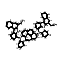 CC(C)Cc1cc2ccccc2c2c1oc1c(N(c3ccccc3)c3ccc4ccc5c(N(c6ccccc6)c6cccc7c6oc6c(CC(C)C)cc8ccccc8c67)ccc6ccc3c4c65)cccc12